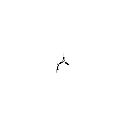 FSP(I)I